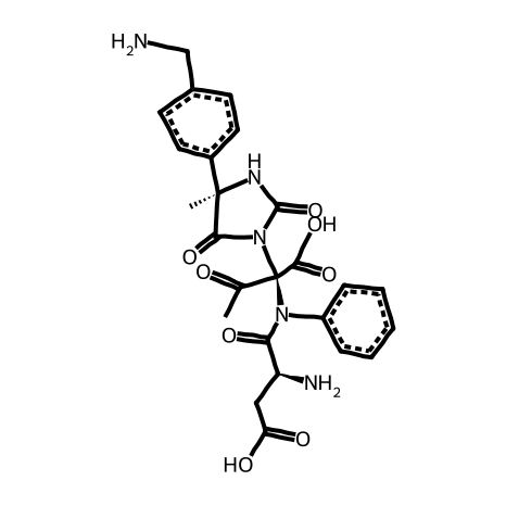 CC(=O)[C@@](C(=O)O)(N1C(=O)N[C@](C)(c2ccc(CN)cc2)C1=O)N(C(=O)[C@@H](N)CC(=O)O)c1ccccc1